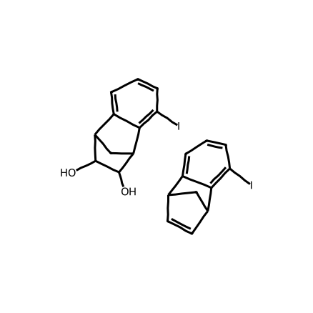 Ic1cccc2c1C1C=CC2C1.OC1C2CC(c3c(I)cccc32)C1O